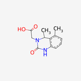 Cc1cccc2c1C(C)N(CC(=O)O)C(=O)N2